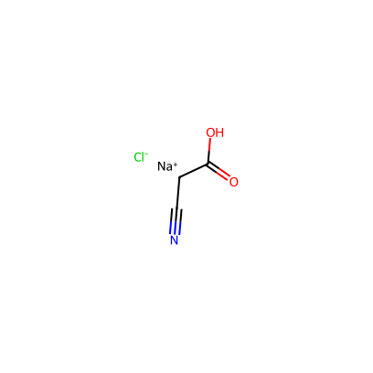 N#CCC(=O)O.[Cl-].[Na+]